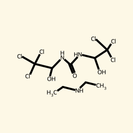 CCNCC.O=C(NC(O)C(Cl)(Cl)Cl)NC(O)C(Cl)(Cl)Cl